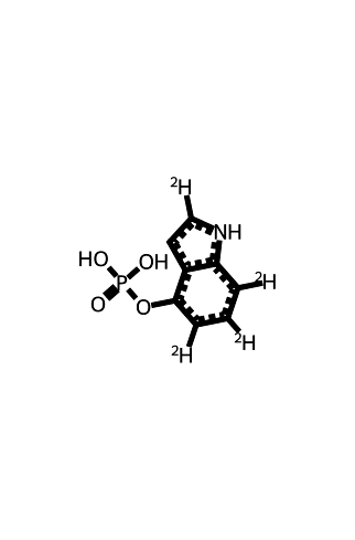 [2H]c1cc2c(OP(=O)(O)O)c([2H])c([2H])c([2H])c2[nH]1